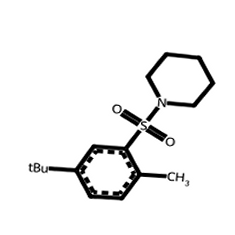 Cc1ccc(C(C)(C)C)cc1S(=O)(=O)N1CCCCC1